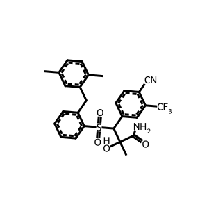 Cc1ccc(C)c(Cc2ccccc2S(=O)(=O)C(c2ccc(C#N)c(C(F)(F)F)c2)C(C)(O)C(N)=O)c1